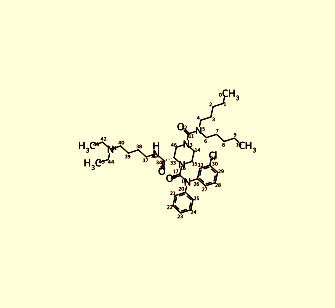 CCCCCN(CCCCC)C(=O)N1CCN(C(=O)N(c2ccccc2)c2cccc(Cl)c2)[C@H](C(=O)NCCCCN(CC)CC)C1